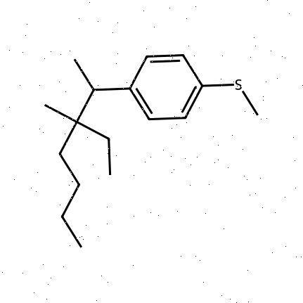 CCCCC(C)(CC)C(C)c1ccc(SC)cc1